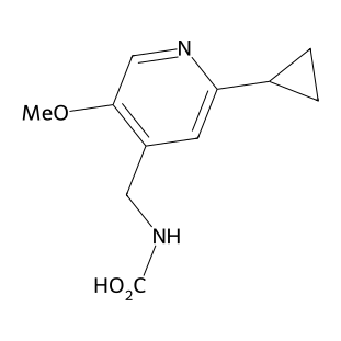 COc1cnc(C2CC2)cc1CNC(=O)O